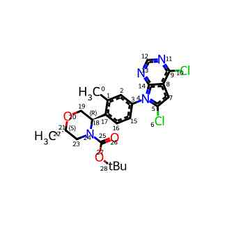 Cc1cc(-n2c(Cl)cc3c(Cl)ncnc32)ccc1[C@@H]1CO[C@@H](C)CN1C(=O)OC(C)(C)C